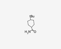 CC(C)(C)C1CCC(C(N)=O)CC1